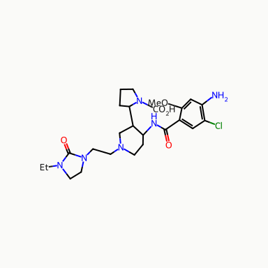 CCN1CCN(CCN2CCC(NC(=O)c3cc(Cl)c(N)cc3OC)C(C3CCCN3C(=O)O)C2)C1=O